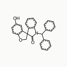 O=C1N(C(c2ccccc2)c2ccccc2)c2ccccc2C12COc1ccc(O)cc12